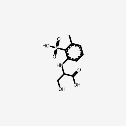 Cc1cccc(NC(CO)C(=O)O)c1S(=O)(=O)O